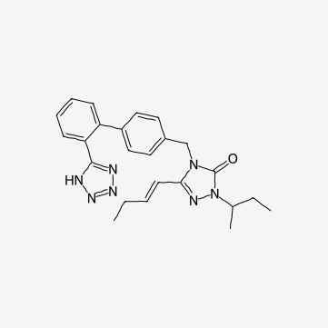 CC/C=C/c1nn(C(C)CC)c(=O)n1Cc1ccc(-c2ccccc2-c2nnn[nH]2)cc1